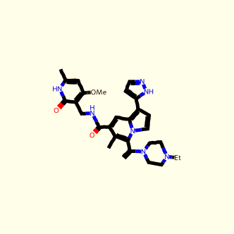 C=C(c1c(C)c(C(=O)NCc2c(OC)cc(C)[nH]c2=O)cc2c(-c3ccn[nH]3)ccn12)N1CCN(CC)CC1